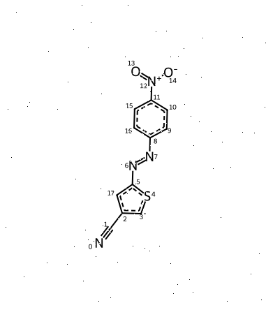 N#Cc1[c]sc(N=Nc2ccc([N+](=O)[O-])cc2)c1